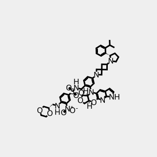 CC(C)c1ccccc1[C@@H]1CCCN1C1CC2(C1)CN(c1ccc(C(=O)NS(=O)(=O)c3ccc(NC[C@H]4COCCO4)c([N+](=O)[O-])c3)c(N3c4cc5cc[nH]c5nc4O[C@H]4COC[C@@H]43)c1)C2